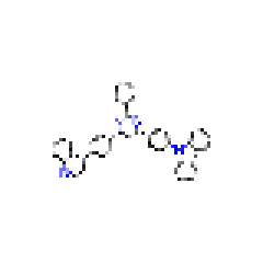 c1ccc(-c2nc(-c3ccc(-c4ccnc5ccccc45)cc3)cc(-c3ccc(-n4c5ccccc5c5ccccc54)cc3)n2)cc1